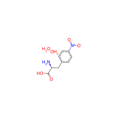 N[C@@H](Cc1ccc([N+](=O)[O-])cc1)C(=O)O.O.O